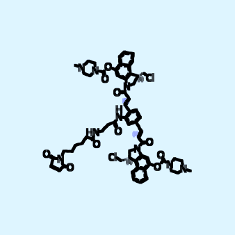 CN1CCN(C(=O)Oc2cc3c(c4ccccc24)[C@H](CCl)CN3C(=O)/C=C/c2ccc(/C=C/C(=O)N3C[C@@H](CCl)c4c3cc(OC(=O)N3CCN(C)CC3)c3ccccc43)c(NC(=O)CCNC(=O)CCCCCN3C(=O)C=CC3=O)c2)CC1